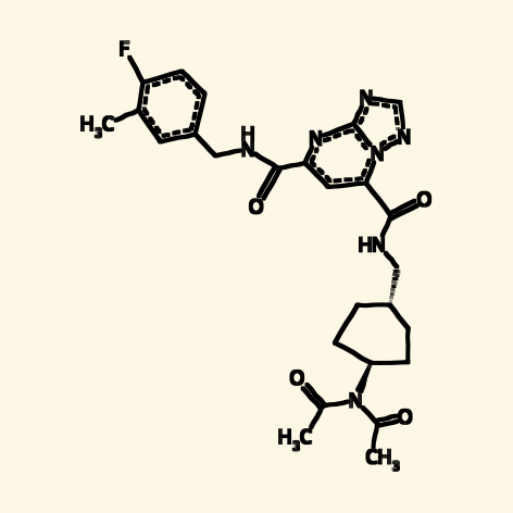 CC(=O)N(C(C)=O)[C@H]1CC[C@H](CNC(=O)c2cc(C(=O)NCc3ccc(F)c(C)c3)nc3ncnn23)CC1